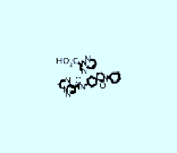 O=C(NC1CCC2(CC1)CCN(c1ccccc1)C2=O)c1cnn2cccnc12.O=C(O)c1cnc2cccnn12